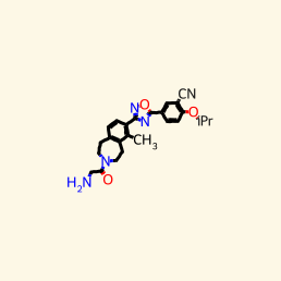 Cc1c(-c2noc(-c3ccc(OC(C)C)c(C#N)c3)n2)ccc2c1CCN(C(=O)CN)CC2